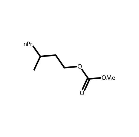 CCCC(C)CCOC(=O)OC